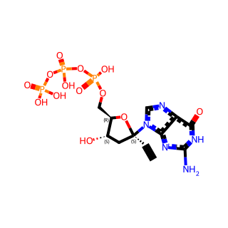 C#C[C@]1(n2cnc3c(=O)[nH]c(N)nc32)C[C@H](O)[C@@H](COP(=O)(O)OP(=O)(O)OP(=O)(O)O)O1